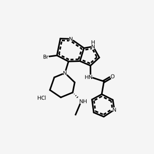 CN[C@@H]1CCCN(c2c(Br)cnc3[nH]cc(NC(=O)c4cccnc4)c23)C1.Cl